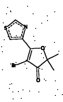 CC1(C)OC(c2cscn2)=C(Br)C1=O